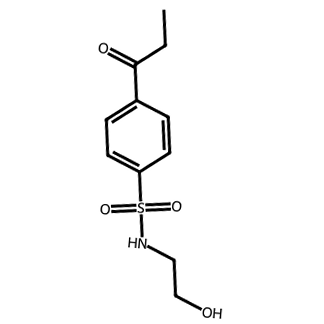 CCC(=O)c1ccc(S(=O)(=O)NCCO)cc1